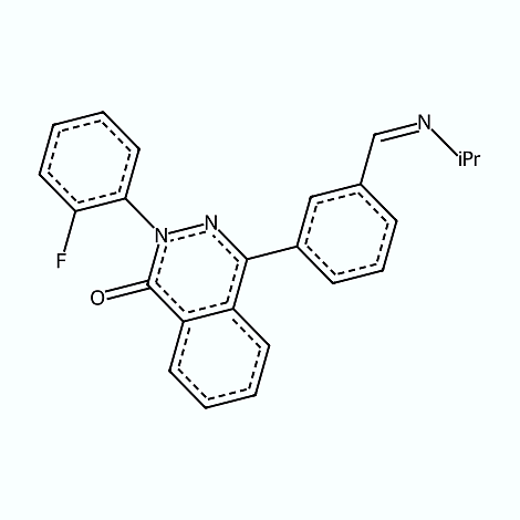 CC(C)/N=C\c1cccc(-c2nn(-c3ccccc3F)c(=O)c3ccccc23)c1